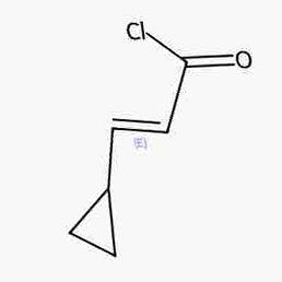 O=C(Cl)/C=C/C1CC1